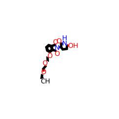 C#CCOCCOCCOc1cccc2c1C(=O)N(C1CCC(O)NC1=O)C2=O